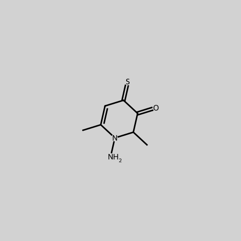 CC1=CC(=S)C(=O)C(C)N1N